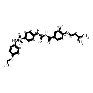 CCOc1ccc(NS(=O)(=O)c2ccc(NC(=S)NC(=O)c3ccc(OCCC(C)C)c(Br)c3)cc2)cc1